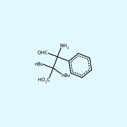 CCCCC(CCCC)(C(=O)O)C(N)(C=O)c1ccccc1